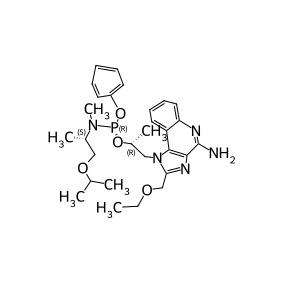 CCOCc1nc2c(N)nc3ccccc3c2n1C[C@@H](C)O[P@@](Oc1ccccc1)N(C)[C@@H](C)COC(C)C